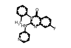 Cc1ccccc1-n1c(Nc2cccnc2)nc2cc(F)ccc2c1=O